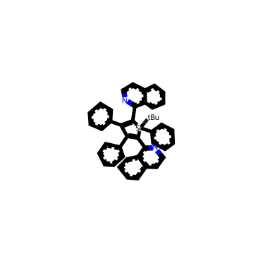 CC(C)(C)[Si]1(c2ccccc2)C(c2nccc3ccccc23)=C(c2ccccc2)C(c2ccccc2)=C1c1nccc2ccccc12